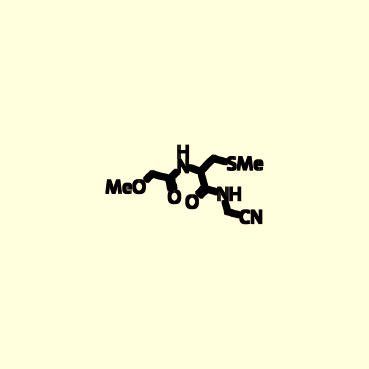 COCC(=O)NC(CSC)C(=O)NCC#N